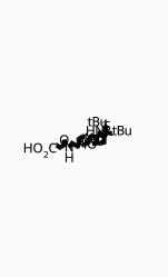 CC(C)(C)Cc1c(SC(C)(C)C)[nH]c2c(CN3CCN(CCNC(=O)CCC(=O)O)CC3)c(O)ccc12